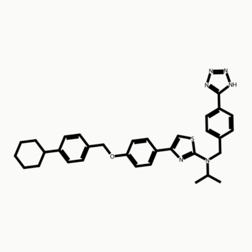 CC(C)N(Cc1ccc(-c2nnn[nH]2)cc1)c1nc(-c2ccc(OCc3ccc(C4CCCCC4)cc3)cc2)cs1